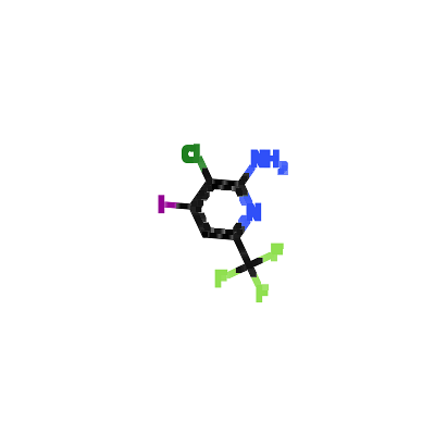 Nc1nc(C(F)(F)F)cc(I)c1Cl